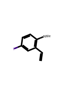 C=Cc1cc(I)ccc1NC